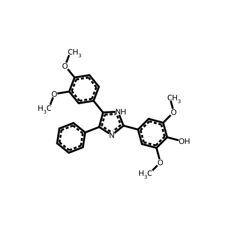 COc1ccc(-c2[nH]c(-c3cc(OC)c(O)c(OC)c3)nc2-c2ccccc2)cc1OC